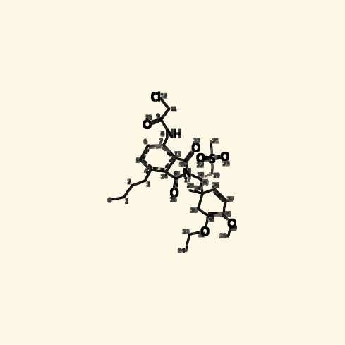 CCCCc1ccc(NC(=O)CCl)c2c1C(=O)N([C@H](CS(C)(=O)=O)C1(C)C=CC(OC)=C(OCC)C1)C2=O